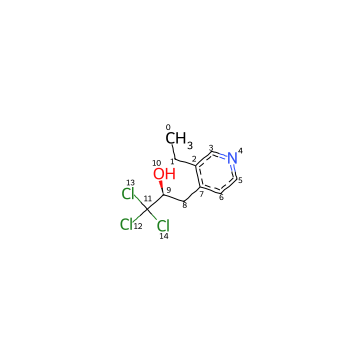 CCc1cnccc1C[C@H](O)C(Cl)(Cl)Cl